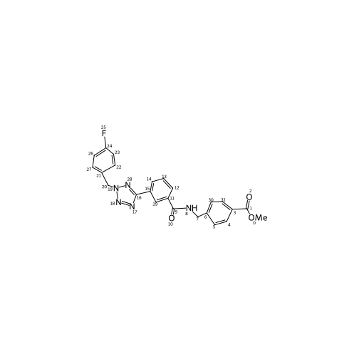 COC(=O)c1ccc(CNC(=O)c2cccc(-c3nnn(Cc4ccc(F)cc4)n3)c2)cc1